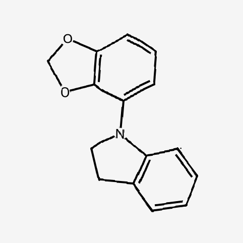 [c]1cccc2c1N(c1cccc3c1OCO3)CC2